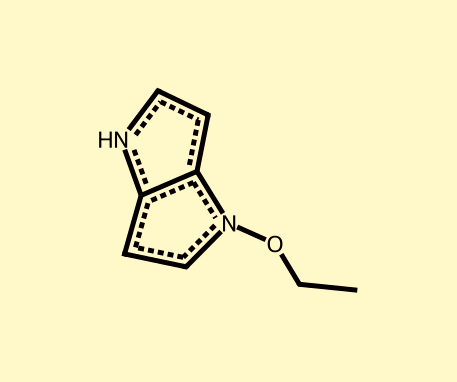 CCOn1ccc2[nH]ccc21